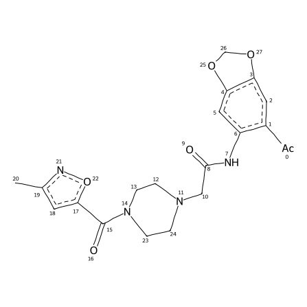 CC(=O)c1cc2c(cc1NC(=O)CN1CCN(C(=O)c3cc(C)no3)CC1)OCO2